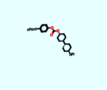 CCCCCc1ccc(OC(=O)O[C@H]2CC[C@H]([C@H]3CC[C@H](CCC)CC3)CC2)cc1